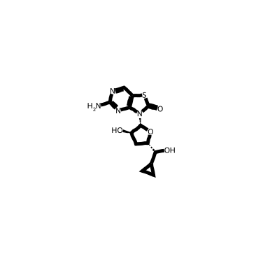 Nc1ncc2sc(=O)n([C@@H]3O[C@H](C(O)C4CC4)C[C@H]3O)c2n1